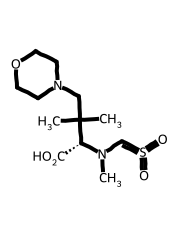 CN(C=S(=O)=O)[C@H](C(=O)O)C(C)(C)CN1CCOCC1